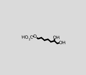 O=C(O)OCCCCCC(O)CO